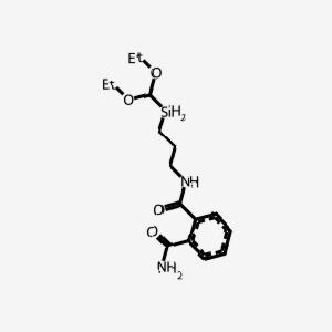 CCOC(OCC)[SiH2]CCCNC(=O)c1ccccc1C(N)=O